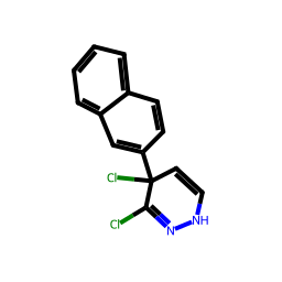 ClC1=NNC=CC1(Cl)c1ccc2ccccc2c1